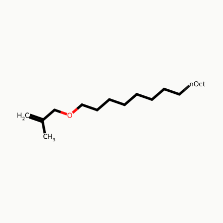 C=C(C)COCCCCCCCCCCCCCCCC